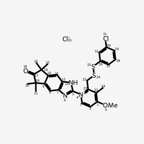 COc1cc[n+](-c2nc3cc4c(cc3[nH]2)C(C)(C)C(=O)C4(C)C)c(CSSc2cccc(Cl)c2)c1C.[Cl-]